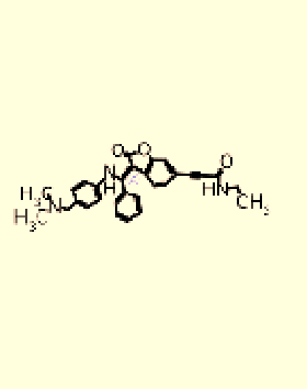 CCNC(=O)C#Cc1ccc2c(c1)OC(=O)/C2=C(\Nc1ccc(CN(C)C)cc1)c1ccccc1